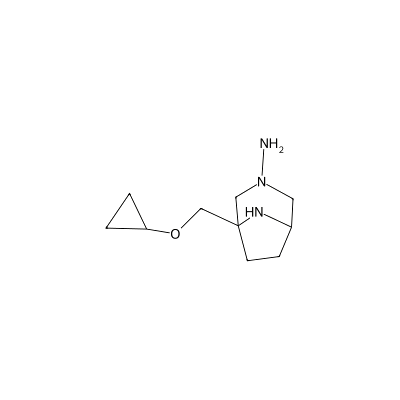 NN1CC2CCC(COC3CC3)(C1)N2